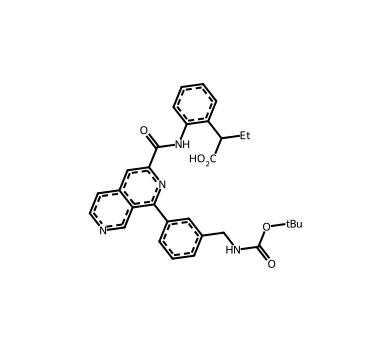 CCC(C(=O)O)c1ccccc1NC(=O)c1cc2ccncc2c(-c2cccc(CNC(=O)OC(C)(C)C)c2)n1